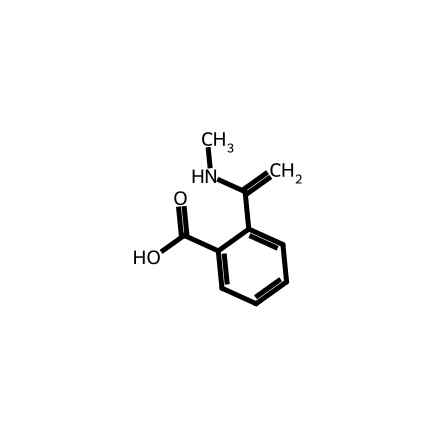 C=C(NC)c1ccccc1C(=O)O